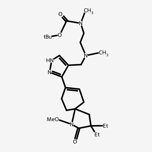 CCC1(CC)CC2(CC=C(c3n[nH]cc3CN(C)CCN(C)C(=O)OC(C)(C)C)CC2)N(OC)C1=O